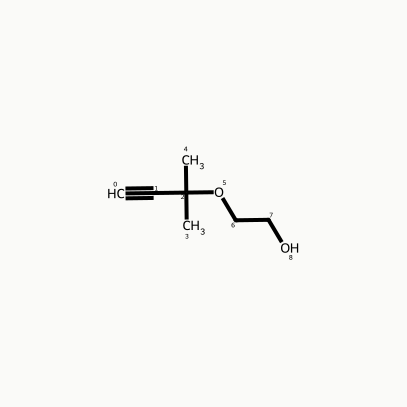 C#CC(C)(C)OCCO